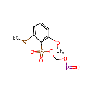 CCSc1cccc(OC(F)(F)F)c1S(=O)(=O)OCOP=O